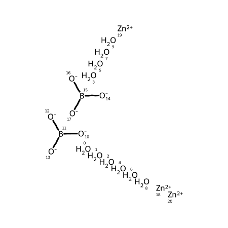 O.O.O.O.O.O.O.O.O.O.[O-]B([O-])[O-].[O-]B([O-])[O-].[Zn+2].[Zn+2].[Zn+2]